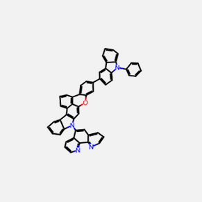 c1ccc(-n2c3ccccc3c3cc(-c4ccc5c(c4)Oc4cc6c(c7cccc-5c47)c4ccccc4n6-c4cc5cccnc5c5ncccc45)ccc32)cc1